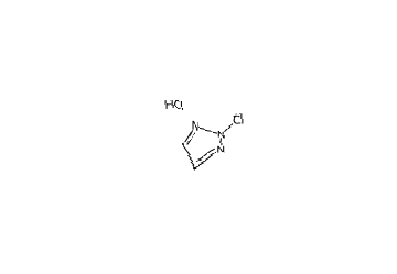 Cl.Cln1nccn1